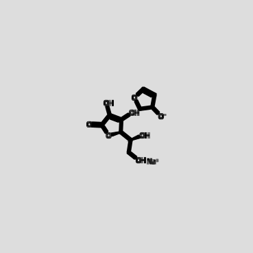 O=C1O[C@H]([C@@H](O)CO)C(O)=C1O.[Na+].[O-]C1C=COC1